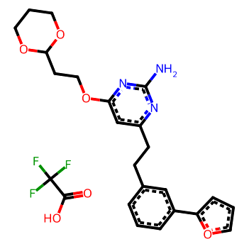 Nc1nc(CCc2cccc(-c3ccco3)c2)cc(OCCC2OCCCO2)n1.O=C(O)C(F)(F)F